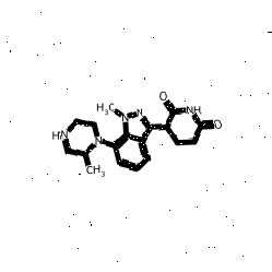 CC1CNCCN1c1cccc2c(C3CCC(=O)NC3=O)nn(C)c12